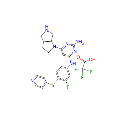 Nc1nc(Nc2ccc(Sc3ccncc3)c(F)c2)cc(N2CCC3CNCC32)n1.O=C(O)C(F)(F)F